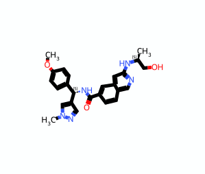 COc1ccc([C@H](NC(=O)c2ccc3cnc(N[C@@H](C)CO)cc3c2)c2cnn(C)c2)cc1